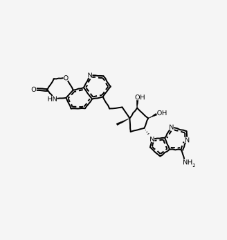 C[C@]1(CCc2ccnc3c4c(ccc23)NC(=O)CO4)C[C@@H](n2ccc3c(N)ncnc32)[C@H](O)[C@@H]1O